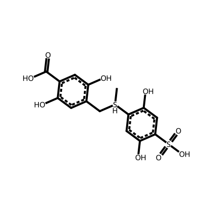 C[SH](Cc1cc(O)c(C(=O)O)cc1O)c1cc(O)c(S(=O)(=O)O)cc1O